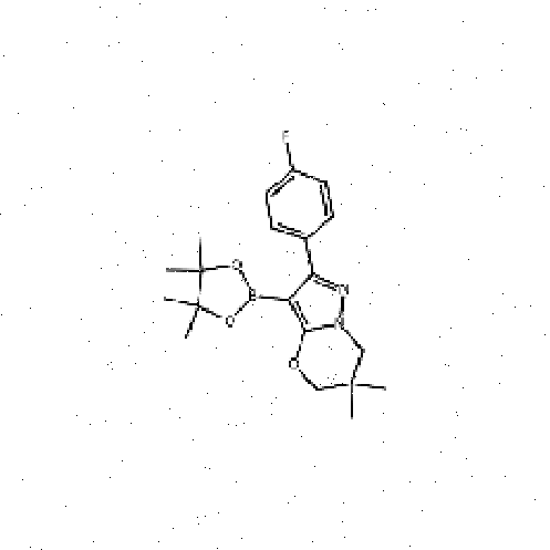 CC1(C)COc2c(B3OC(C)(C)C(C)(C)O3)c(-c3ccc(F)cc3)nn2C1